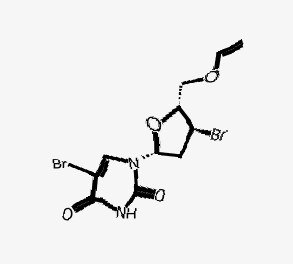 C=COC[C@H]1O[C@@H](n2cc(Br)c(=O)[nH]c2=O)C[C@@H]1Br